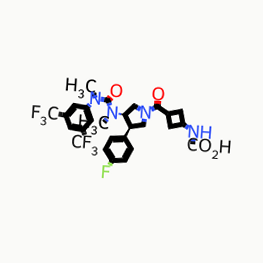 CN(C(=O)N(C)[C@@H]1CN(C(=O)C2CC(NC(=O)O)C2)C[C@H]1c1ccc(F)cc1)c1cc(C(F)(F)F)cc(C(F)(F)F)c1